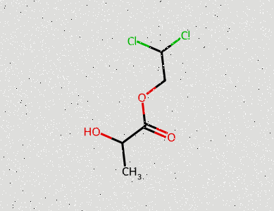 CC(O)C(=O)OCC(Cl)Cl